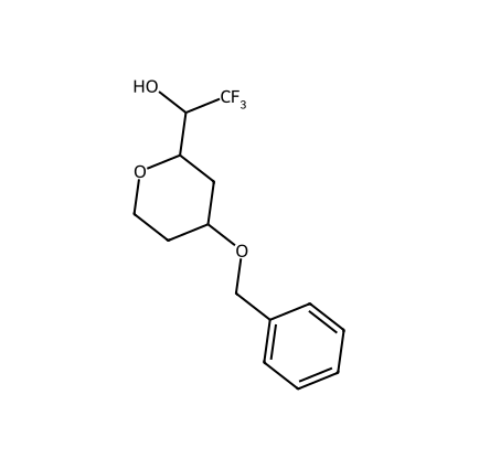 OC(C1CC(OCc2ccccc2)CCO1)C(F)(F)F